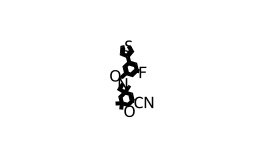 CC1(C)CC2(C=C(C#N)C1=O)CN(C(=O)c1cc(F)cc(-c3ccsc3)c1)C2